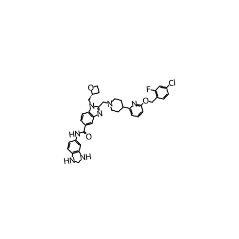 O=C(Nc1ccc2c(c1)NCN2)c1ccc2c(c1)nc(CN1CCC(c3cccc(OCc4ccc(Cl)cc4F)n3)CC1)n2C[C@@H]1CCO1